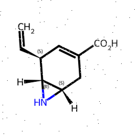 C=C[C@H]1C=C(C(=O)O)C[C@@H]2N[C@H]12